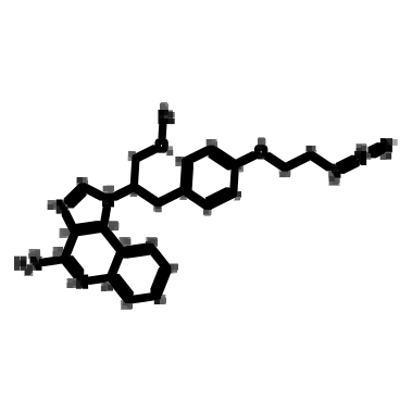 CCOCC(Cc1ccc(OCCN=[N+]=[N-])cc1)n1cnc2c(N)nc3ccccc3c21